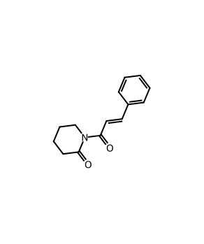 O=C(C=Cc1ccccc1)N1CCCCC1=O